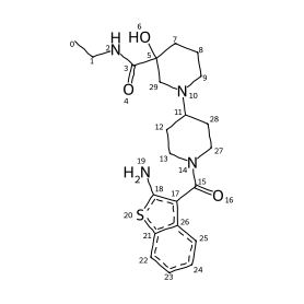 CCNC(=O)C1(O)CCCN(C2CCN(C(=O)c3c(N)sc4ccccc34)CC2)C1